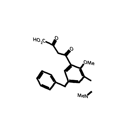 CNC.COc1c(C)cc(Cc2ccccc2)cc1C(=O)CC(=O)C(=O)O